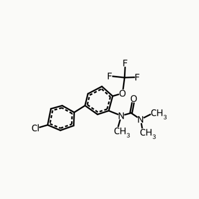 CN(C)C(=O)N(C)c1cc(-c2ccc(Cl)cc2)ccc1OC(F)(F)F